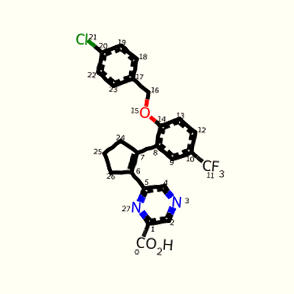 O=C(O)c1cncc(C2=C(c3cc(C(F)(F)F)ccc3OCc3ccc(Cl)cc3)CCC2)n1